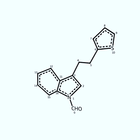 O=Cn1cc(CCc2cccs2)c2ccccc21